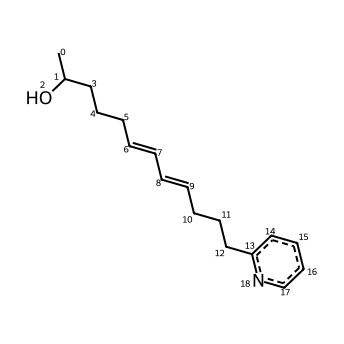 CC(O)CCC/C=C/C=C/CCCc1ccccn1